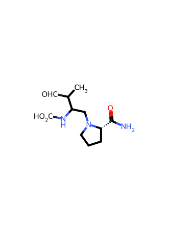 CC(C=O)C(CN1CCC[C@H]1C(N)=O)NC(=O)O